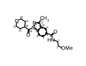 COCCNC(=O)c1ccc2c(c1)c(C)nn2C(=O)C1CCOCC1